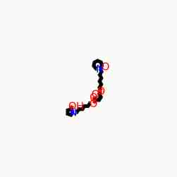 O=C(/C=C\C(=O)OCCCCCCN1CCCC1O)OCCCCCCN1CCCCCC1=O